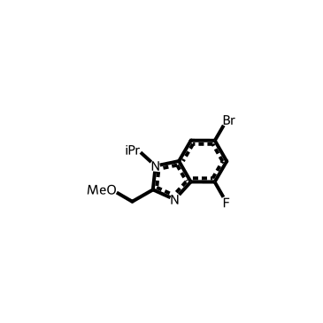 COCc1nc2c(F)cc(Br)cc2n1C(C)C